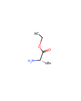 CCCC[C@H](N)C(=O)OCC#N